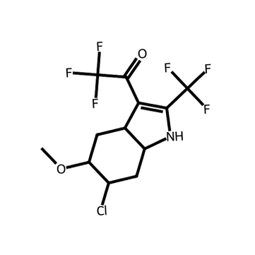 COC1CC2C(C(=O)C(F)(F)F)=C(C(F)(F)F)NC2CC1Cl